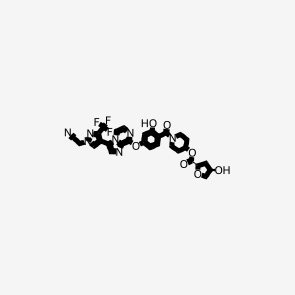 N#CCn1cc(-c2cnc3c(Oc4ccc(C(=O)N5CCC(OC(=O)[C@@H]6C[C@@H](O)CO6)CC5)c(O)c4)nccn23)c(C(F)(F)F)n1